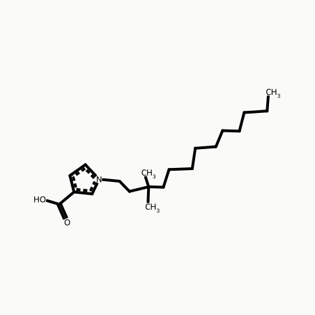 CCCCCCCCCCC(C)(C)CCn1ccc(C(=O)O)c1